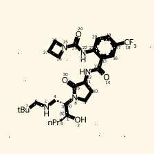 CCC[C@H](O)[C@H](CNCC(C)(C)C)N1CCC(NC(=O)c2cc(C(F)(F)F)ccc2NC(=O)N2CCC2)C1=O